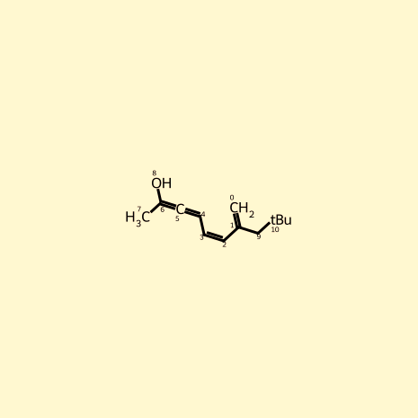 C=C(/C=C\C=C=C(C)O)CC(C)(C)C